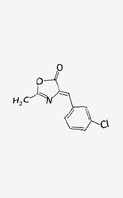 CC1=N/C(=C\c2cccc(Cl)c2)C(=O)O1